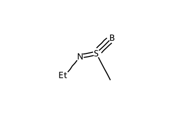 B#S(C)=NCC